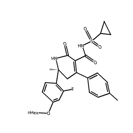 CCCCCCOc1ccc([C@]2(C)CC(c3ccc(C)cc3)=C(C(=O)NS(=O)(=O)C3CC3)C(=O)N2)c(F)c1